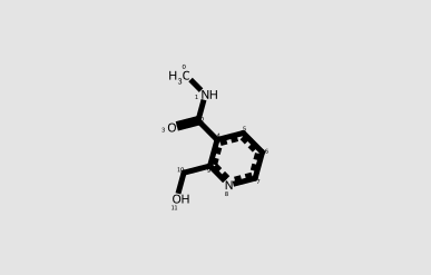 CNC(=O)c1cccnc1CO